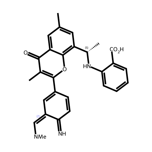 CN/C=C1/C=C(c2oc3c([C@H](C)Nc4ccccc4C(=O)O)cc(C)cc3c(=O)c2C)C=CC1=N